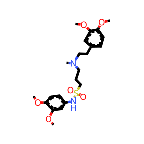 COc1ccc(CCN(C)CCCS(=O)(=O)Nc2ccc(OC)c(OC)c2)cc1OC